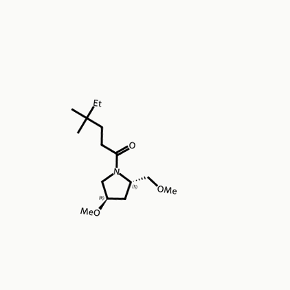 CCC(C)(C)CCC(=O)N1C[C@H](OC)C[C@H]1COC